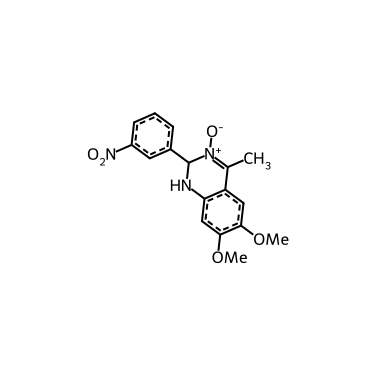 COc1cc2c(cc1OC)C(C)=[N+]([O-])C(c1cccc([N+](=O)[O-])c1)N2